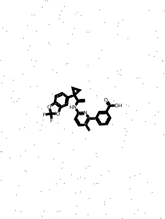 C=C(Nc1ccc(C)c(-c2cccc(C(=O)O)c2)n1)C1(c2ccc3c(c2)OC(F)(F)O3)CC1